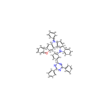 c1ccc(-c2nc(-c3ccccc3)nc(-c3cccc(-n4c5ccccc5c5ccc6c(c7cc8oc9ccccc9c8cc7n6-c6ccccc6)c54)c3)n2)cc1